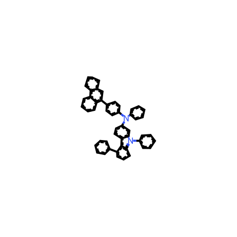 c1ccc(-c2cccc3c2c2ccc(N(c4ccccc4)c4ccc(-c5cc6ccccc6c6ccccc56)cc4)cc2n3-c2ccccc2)cc1